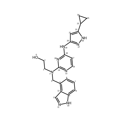 OCCN(Cc1cccc2[nH]ncc12)c1nccc(Nc2cc(C3CC3)[nH]n2)n1